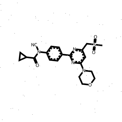 CS(=O)(=O)Cc1cc(N2CCOCC2)nc(-c2ccc(N(C#N)C(=O)C3CC3)cc2)n1